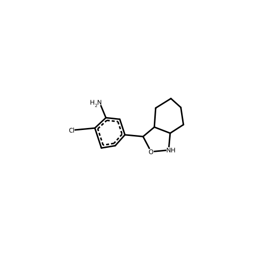 Nc1cc(C2ONC3CCCCC32)ccc1Cl